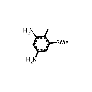 CSc1cc(N)cc(N)c1C